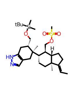 C/C=C1\CC[C@H]2[C@H](COS(C)(=O)=O)[C@@H]([C@@]3(C)Cc4cn[nH]c4C[C@@H]3CO[Si](C)(C)C(C)(C)C)CC[C@]12C